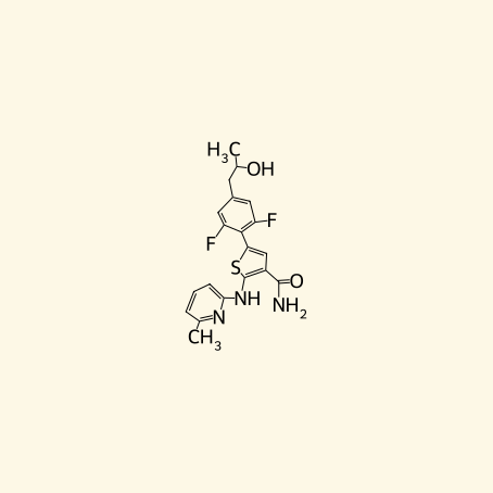 Cc1cccc(Nc2sc(-c3c(F)cc(CC(C)O)cc3F)cc2C(N)=O)n1